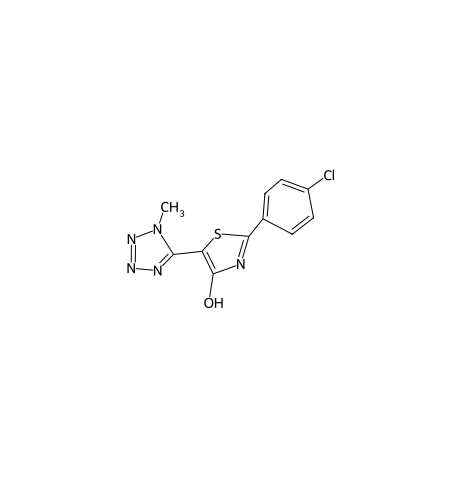 Cn1nnnc1-c1sc(-c2ccc(Cl)cc2)nc1O